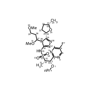 CCCO[C@@H](c1ncc(F)cn1)[C@H](C)S(=O)(=O)Nc1nnc([C@@H]2CC[C@H](C)O2)n1C(CCOC)OC